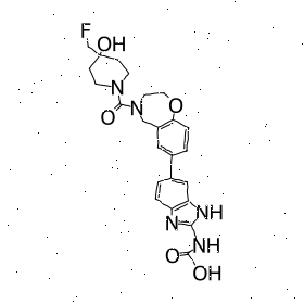 O=C(O)Nc1nc2ccc(-c3ccc4c(c3)CN(C(=O)N3CCC(O)(CF)CC3)CCO4)cc2[nH]1